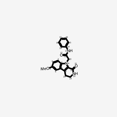 COc1ccc2c(c1)c1c(n2CC(=O)Nc2ccccc2)C(=O)NCC1